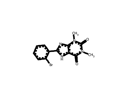 Cn1c(=O)c2[nH]c(-c3ccccc3Br)nc2n(C)c1=O